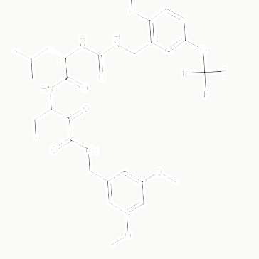 CCC(NC(=O)[C@H](CC(C)C)NC(=O)NCc1cc(OC(F)(F)F)ccc1OC)C(=O)C(=O)NCc1cc(OC)cc(OC)c1